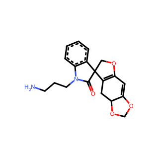 NCCCN1C(=O)C2(COC3=C2CC2OCOC2=C3)c2ccccc21